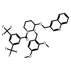 COc1ccc(C[C@@H]2C(OCc3cnc4ccccc4c3)CCCN2C(=O)c2cc(C(F)(F)F)cc(C(F)(F)F)c2)c(OC)c1